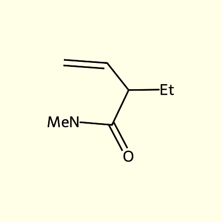 C=CC(CC)C(=O)NC